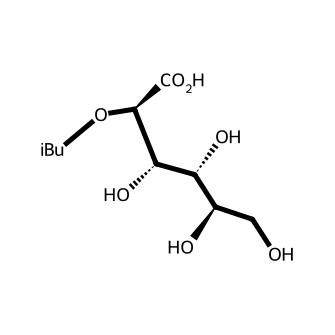 CCC(C)O[C@@H](C(=O)O)[C@@H](O)[C@H](O)[C@H](O)CO